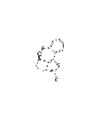 O=C1CCc2c(Cl)sc(-c3ccccc3F)c21